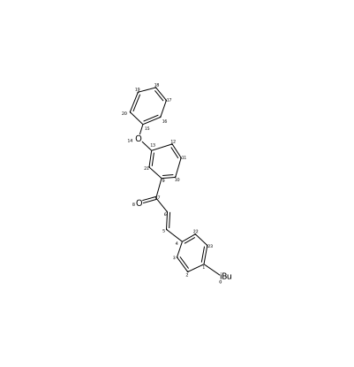 CCC(C)c1ccc(C=CC(=O)c2cccc(Oc3ccccc3)c2)cc1